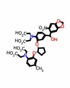 Cc1ccc(N(CC(=O)O)CC(=O)O)c(O[C@H]2CCC[C@H]2Oc2cc(C(O)c3cc4c(cc3[N+](=O)[O-])OCO4)ccc2N(CC(=O)O)CC(=O)O)c1